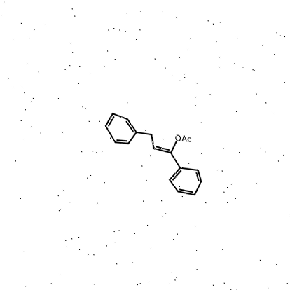 CC(=O)O/C(=C\Cc1ccccc1)c1ccccc1